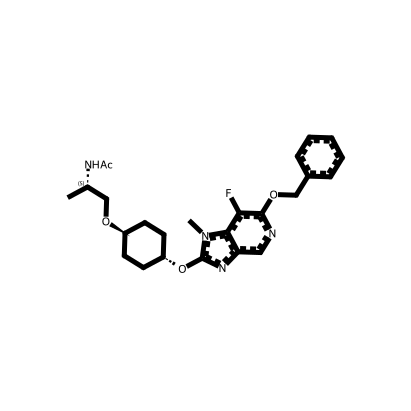 CC(=O)N[C@@H](C)CO[C@H]1CC[C@H](Oc2nc3cnc(OCc4ccccc4)c(F)c3n2C)CC1